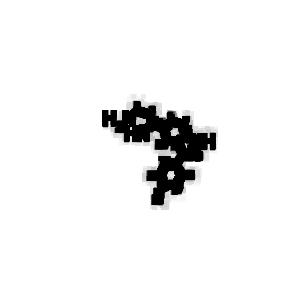 N=C(/C=C\N)c1ccc2[nH]nc(-c3ccc(F)cc3)c2c1